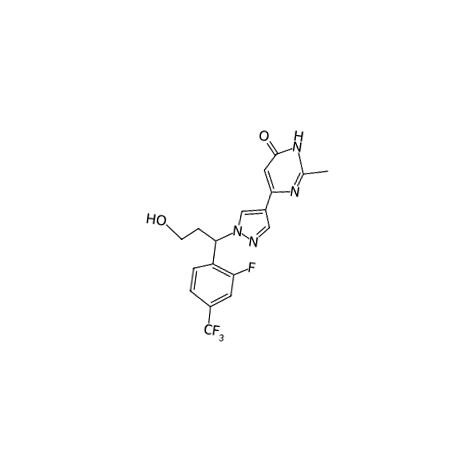 Cc1nc(-c2cnn(C(CCO)c3ccc(C(F)(F)F)cc3F)c2)cc(=O)[nH]1